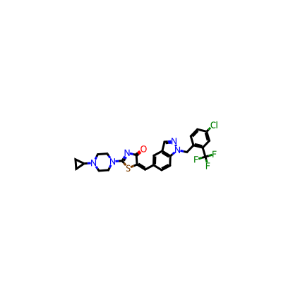 O=C1N=C(N2CCN(C3CC3)CC2)SC1=Cc1ccc2c(cnn2Cc2ccc(Cl)cc2C(F)(F)F)c1